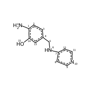 Nc1ccc(CNc2ccncc2)cc1O